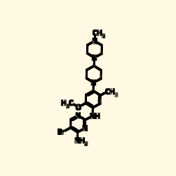 COc1cc(N2CCC(N3CCN(C)CC3)CC2)c(C)cc1Nc1ncc(Br)c(N)n1